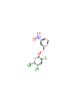 O=[N+]([O-])c1cccc(COc2cc(Cl)c(Cl)cc2Cl)c1